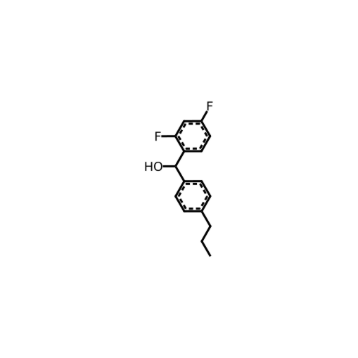 CCCc1ccc(C(O)c2ccc(F)cc2F)cc1